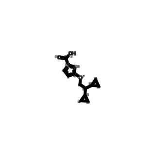 O=C(O)n1ccc(OCC(C2CC2)C2CC2)n1